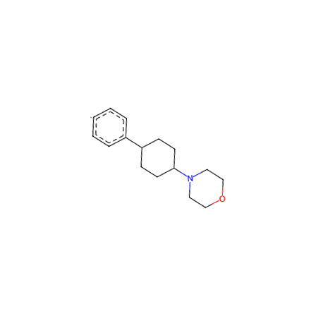 [c]1ccc(C2CCC(N3CCOCC3)CC2)cc1